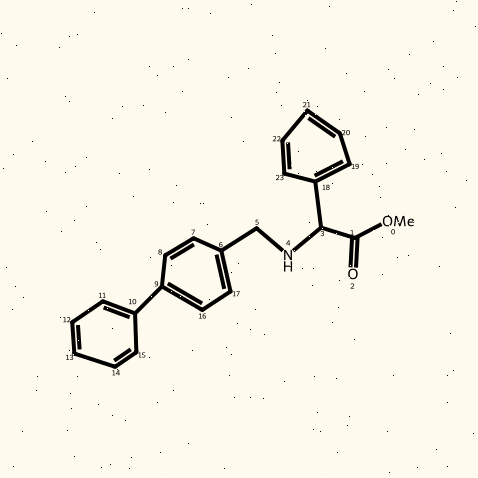 COC(=O)C(NCc1ccc(-c2ccccc2)cc1)c1ccccc1